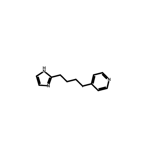 [CH](CCCc1ncc[nH]1)c1ccncc1